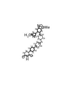 COc1cc(N2CCC(CN3CCN(c4ccc(C5CCC(=O)NC5=O)cc4)CC3)CC2)c(-c2cnn(C)c2)cc1[N+](=O)[O-]